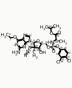 CCOc1nc(N)nc2c1ncn2[C@@H]1O[C@H](COP(=O)(N[C@@H](C)C(=O)OC(C)C)Oc2ccc(Cl)c(Cl)c2)[C@@H](O)[C@@]1(C)N=[N+]=[N-]